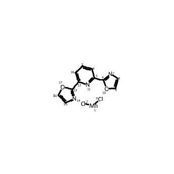 [Cl][Mn][Cl].c1cc(-c2ncco2)nc(-c2ncco2)c1